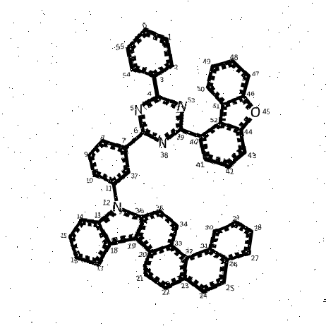 c1ccc(-c2nc(-c3cccc(-n4c5ccccc5c5c6ccc7ccc8ccccc8c7c6ccc54)c3)nc(-c3cccc4oc5ccccc5c34)n2)cc1